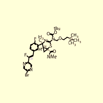 CNC(=O)[C@]12C[C@H]1[C@@](C)(c1cc(/C=C(\F)c3cnc(Br)cn3)ccc1F)N=C(N(COCC[Si](C)(C)C)C(=O)OC(C)(C)C)S2